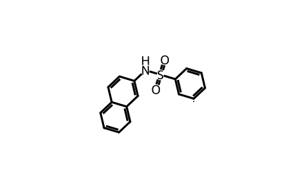 O=S(=O)(Nc1ccc2ccccc2c1)c1c[c]ccc1